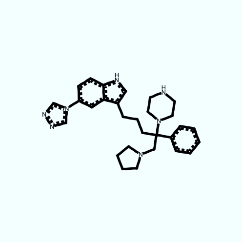 c1ccc(C(CCCc2c[nH]c3ccc(-n4cnnc4)cc23)(CN2CCCC2)N2CCNCC2)cc1